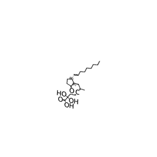 CCCCCCCC=C[C@H]1CCC(=O)[C@@H]1CC(C)=C=CCC(O)(O)C(=O)O